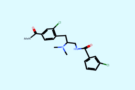 CNC(=O)c1ccc(CC(CNC(=O)c2cccc(Cl)c2)N(C)C)c(Cl)c1